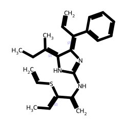 C=CS/C(=C\C)C(=C)Nc1nc(=C(/C=C)c2ccccc2)/c(=C(\C)CC)[nH]1